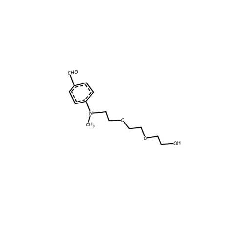 CN(CCOCCOCCO)c1ccc(C=O)cc1